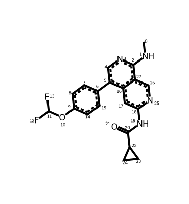 CNc1ncc(-c2ccc(OC(F)F)cc2)c2cc(NC(=O)C3CC3)ncc12